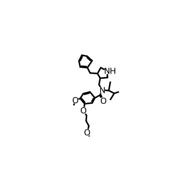 COCCCOc1cc(C(=O)N(CC2CNCC2Cc2ccccc2)C(C)C(C)C)ccc1OC